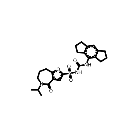 CC(C)N1CCCc2oc(S(=O)(=O)NC(=O)Nc3c4c(cc5c3CCC5)CCC4)cc2C1=O